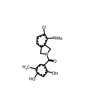 CNc1c(Cl)ccc2c1CN(C(=O)c1cc(C)c(O)cc1O)C2